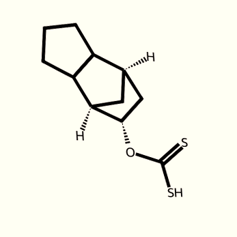 S=C(S)O[C@H]1C[C@H]2C[C@@H]1C1CCCC12